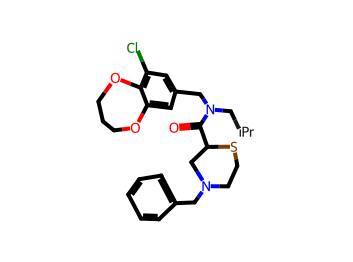 CC(C)CN(Cc1cc(Cl)c2c(c1)OCCCO2)C(=O)C1CN(Cc2ccccc2)CCS1